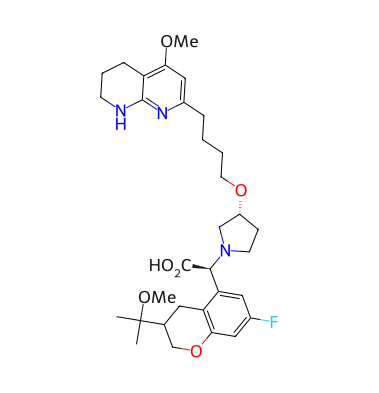 COc1cc(CCCCO[C@@H]2CCN([C@H](C(=O)O)c3cc(F)cc4c3CC(C(C)(C)OC)CO4)C2)nc2c1CCCN2